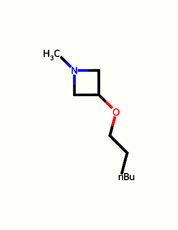 CCCCCCOC1CN(C)C1